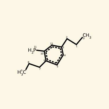 CCCc1ccc(CCC)c(P)c1